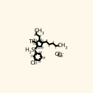 CCCCCC1=C(CCC)[C]([Ti+3])=C([SiH2]c2ccccc2)C1.[Cl-].[Cl-].[Cl-]